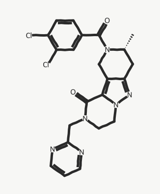 C[C@@H]1Cc2nn3c(c2CN1C(=O)c1ccc(Cl)c(Cl)c1)C(=O)N(Cc1ncccn1)CC3